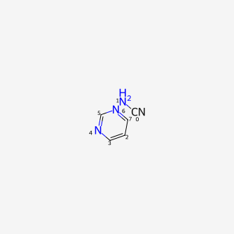 N#CN.c1cncnc1